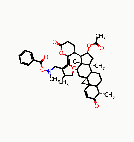 CC(=O)O[C@H]1C[C@@]2(C)C3CCC4[C@H](C)C(=O)C=C[C@@]45C[C@@]35CC[C@]2(C)[C@H]1[C@@H]1CCC(=O)OC1C1=C(CN(C)OC(=O)c2ccccc2)C(C)CO1